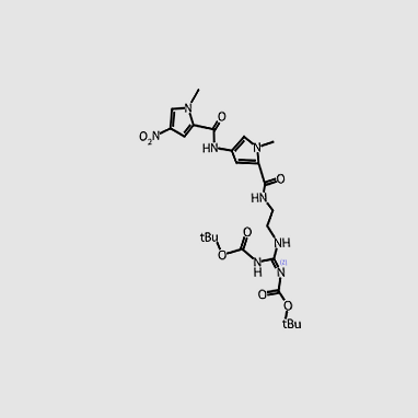 Cn1cc(NC(=O)c2cc([N+](=O)[O-])cn2C)cc1C(=O)NCCN/C(=N/C(=O)OC(C)(C)C)NC(=O)OC(C)(C)C